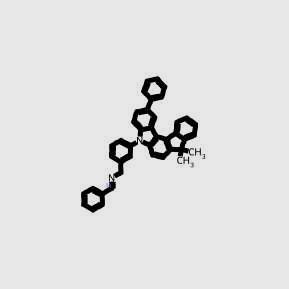 CC1(C)c2ccccc2-c2c1ccc1c2c2cc(-c3ccccc3)ccc2n1-c1cccc(C/N=C/c2ccccc2)c1